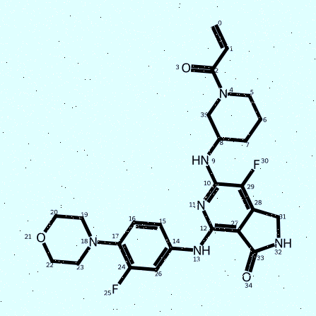 C=CC(=O)N1CCCC(Nc2nc(Nc3ccc(N4CCOCC4)c(F)c3)c3c(c2F)CNC3=O)C1